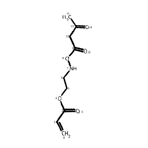 C=CC(=O)OCCNOC(=O)CC(C)=O